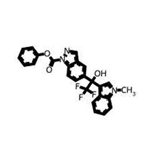 Cn1cc(C(O)(c2ccc3c(cnn3C(=O)Oc3ccccc3)c2)C(F)(F)F)c2ccccc21